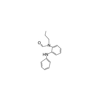 CCCN(C=O)c1ccccc1Nc1ccccc1